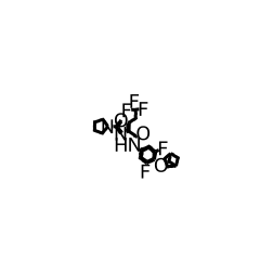 O=C(Nc1cc(F)c(OC2C3CCC2C3)c(F)c1)c1nc(N2CCCC2)oc1CC(F)(F)F